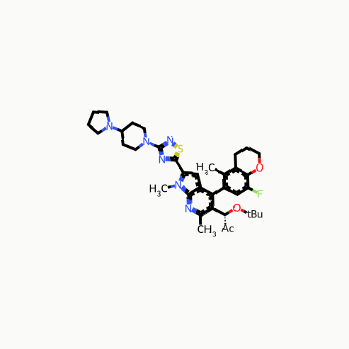 CC(=O)[C@@H](OC(C)(C)C)c1c(C)nc2c(cc(-c3nc(N4CCC(N5CCCC5)CC4)ns3)n2C)c1-c1cc(F)c2c(c1C)CCCO2